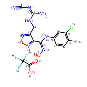 N#C/N=C(/N)NCc1nonc1/C(=N\O)Nc1ccc(F)c(Cl)c1.O=C(O)C(F)(F)F